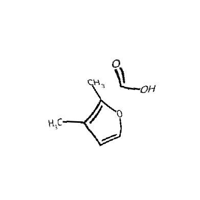 Cc1ccoc1C.O=CO